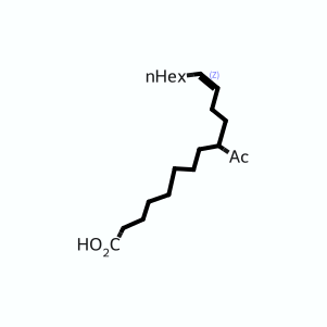 CCCCCC/C=C\CCC(CCCCCCCC(=O)O)C(C)=O